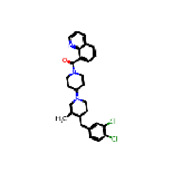 CC1CN(C2CCN(C(=O)c3cccc4cccnc34)CC2)CCC1Cc1ccc(Cl)c(Cl)c1